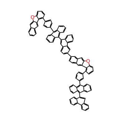 c1cc(-c2c3ccccc3c(-c3cc4ccccc4c4ccccc34)c3ccccc23)cc(-c2cccc3oc4cc5cc(-c6ccc7cc(-c8c9ccccc9c(-c9ccc(-c%10cccc%11oc%12cc%13ccccc%13cc%12c%10%11)cc9)c9ccccc89)c8ccccc8c7c6)ccc5cc4c23)c1